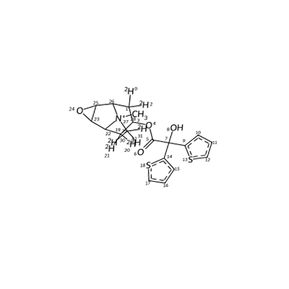 [2H]C1([2H])C(OC(=O)C(O)(c2cccs2)c2cccs2)C([2H])([2H])C2C3OC3C1[N+]2(C)C([2H])([2H])[2H]